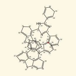 C1=CC(C2=NC(c3ccccc3)=NC(C3=c4c(oc5c(-c6cccc7sc8cccc(-n9c%10ccccc%10c%10ccccc%109)c8c67)cccc45)=CCC3)N2)=CCC1